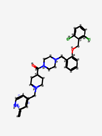 C=C/C=C(\C=C/N)CN1CCC(C(=O)N2CCN(Cc3ccccc3OCc3c(Cl)cccc3Cl)CC2)CC1